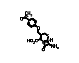 C[S+]([O-])c1ccc(OCC2=C(C(=O)O)N3C(=O)C(N)[C@@H]3SC2)cc1